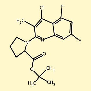 Cc1c(N2CCCC2C(=O)OC(C)(C)C)nc2cc(F)cc(F)c2c1Cl